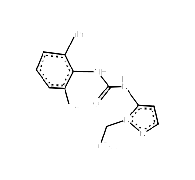 CCCCCCCCCCCn1nccc1NC(=O)Nc1c(C(C)C)cccc1C(C)C